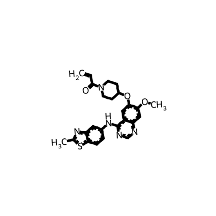 C=CC(=O)N1CCC(Oc2cc3c(Nc4ccc5sc(C)nc5c4)ncnc3cc2OC)CC1